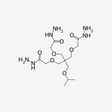 CC(C)OCC(COCC(=O)NN)(COCC(=O)NN)COCC(=O)NN